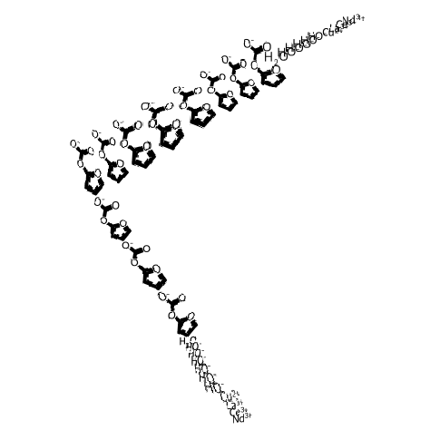 O.O.O=C([O-])Oc1ccco1.O=C([O-])Oc1ccco1.O=C([O-])Oc1ccco1.O=C([O-])Oc1ccco1.O=C([O-])Oc1ccco1.O=C([O-])Oc1ccco1.O=C([O-])Oc1ccco1.O=C([O-])Oc1ccco1.O=C([O-])Oc1ccco1.O=C([O-])Oc1ccco1.O=C([O-])Oc1ccco1.[Ce+3].[Ce+3].[Cu+2].[Cu+2].[La+3].[La+3].[Nd+3].[Nd+3].[OH-].[OH-].[OH-].[OH-].[OH-].[OH-].[OH-].[OH-].[OH-].[OH-].[OH-]